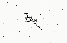 CCCCCCNc1cc(C)nc(C2CC2)n1